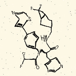 O=C(NCC1CC2C(C1)C2(F)F)C(c1cncnc1)N(C(=O)C(F)Cl)c1ccc(-c2cncs2)cc1